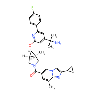 Cc1cc(C(=O)N2C[C@H]3[C@H](Oc4cc(C(C)(C)N)cc(-c5ccc(F)cc5)n4)[C@@]3(C)C2)cn2cc(C3CC3)nc12